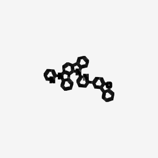 c1ccc(-n2c3ccccc3c3c2ccc2c4ccccc4n(-c4cccc(-c5ccc6oc7ccccc7c6c5)n4)c23)nc1